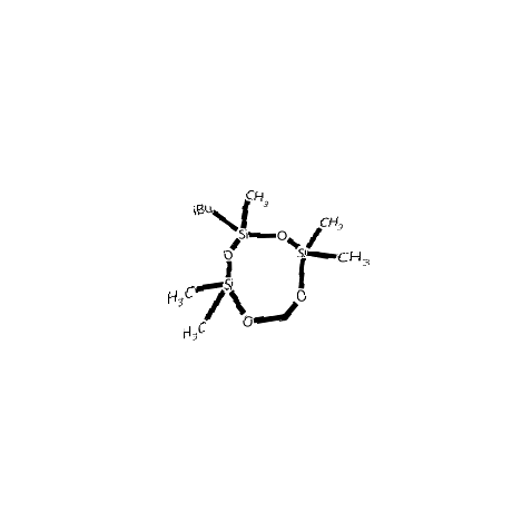 CCC(C)[Si]1(C)O[Si](C)(C)OCO[Si](C)(C)O1